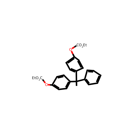 CCOC(=O)Oc1ccc(C(C)(c2ccccc2)c2ccc(OC(=O)OCC)cc2)cc1